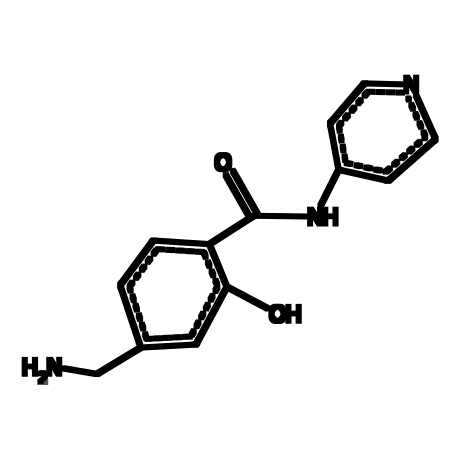 NCc1ccc(C(=O)Nc2ccncc2)c(O)c1